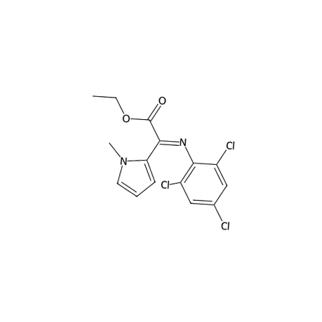 CCOC(=O)C(=Nc1c(Cl)cc(Cl)cc1Cl)c1cccn1C